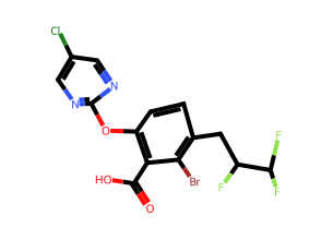 O=C(O)c1c(Oc2ncc(Cl)cn2)ccc(CC(F)C(F)F)c1Br